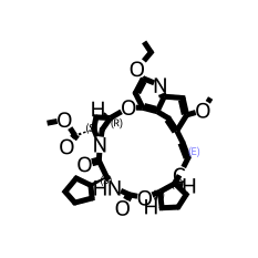 CCOc1cc2c3cc(c(OC)cc3n1)/C=C/C[C@@H]1CCC[C@H]1OC(=O)N[C@@H](C1CCCC1)C(=O)N1C[C@@H](C[C@H]1C(=O)OC)O2